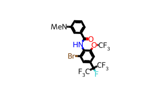 CNc1cccc(C(=O)Nc2c(Br)cc(C(F)(C(F)(F)F)C(F)(F)F)cc2OC(F)(F)F)c1